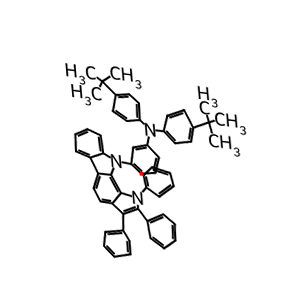 CC(C)(C)c1ccc(N(c2ccc(C(C)(C)C)cc2)c2cccc(-n3c4ccccc4c4ccc5c(-c6ccccc6)c(-c6ccccc6)n(-c6ccccc6)c5c43)c2)cc1